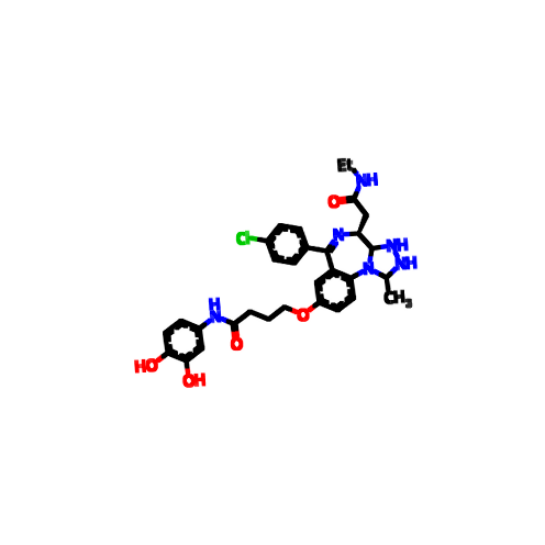 CCNC(=O)C[C@@H]1N=C(c2ccc(Cl)cc2)c2cc(OCCCC(=O)Nc3ccc(O)c(O)c3)ccc2N2C(C)NNC12